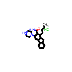 CCCCc1c2c(cc(N3CCNCC3)c1C(N)=O)-c1ccccc1C2.Cl